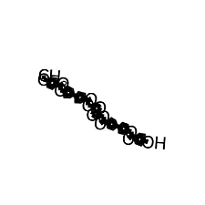 COc1ccc(C(=O)Oc2ccc(-c3ccc(C(=O)OC4COC5C(OC(=O)c6ccc(-c7ccc(OC(=O)c8ccc(O)cc8)cc7)cc6)COC45)cc3)cc2)cc1